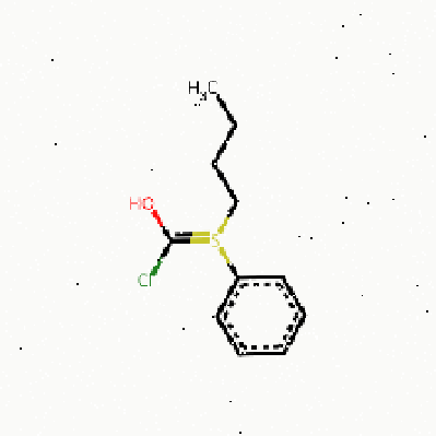 CCCCS(=C(O)Cl)c1ccccc1